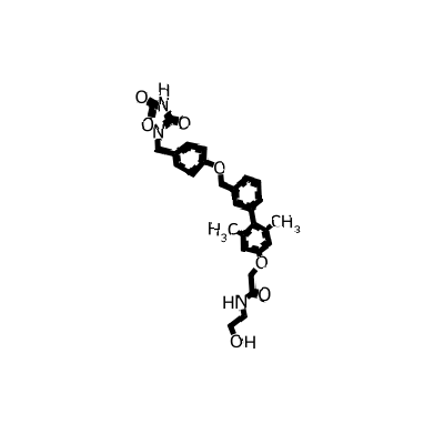 Cc1cc(OCC(=O)NCCO)cc(C)c1-c1cccc(COc2ccc(Cn3oc(=O)[nH]c3=O)cc2)c1